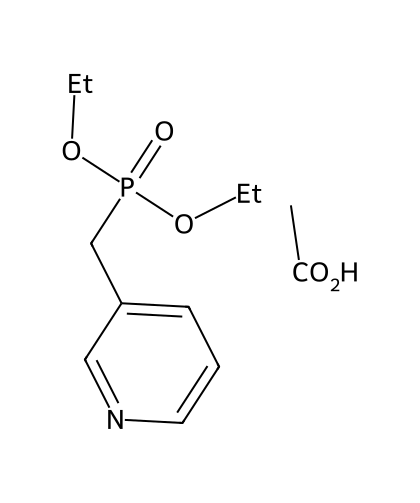 CC(=O)O.CCOP(=O)(Cc1cccnc1)OCC